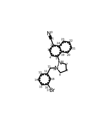 N#Cc1ccc(N2CCCN2Cc2cccc(Br)c2)c2ccccc12